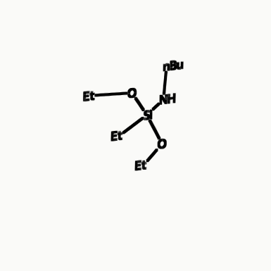 CCCCN[Si](CC)(OCC)OCC